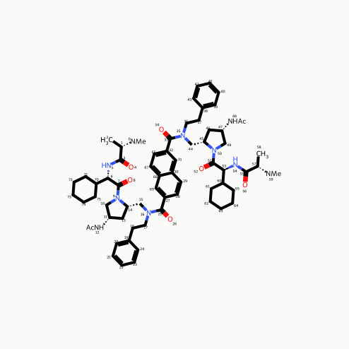 CN[C@@H](C)C(=O)N[C@H](C(=O)N1C[C@@H](NC(C)=O)C[C@H]1CN(CCc1ccccc1)C(=O)c1ccc2cc(C(=O)N(CCc3ccccc3)C[C@@H]3C[C@H](NC(C)=O)CN3C(=O)[C@@H](NC(=O)[C@H](C)NC)C3CCCCC3)ccc2c1)C1CCCCC1